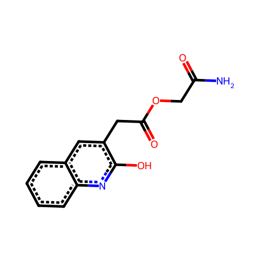 NC(=O)COC(=O)Cc1cc2ccccc2nc1O